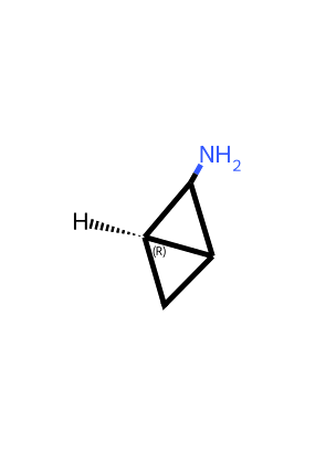 NC1C2C[C@@H]12